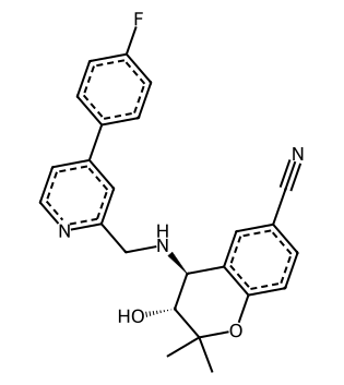 CC1(C)Oc2ccc(C#N)cc2[C@H](NCc2cc(-c3ccc(F)cc3)ccn2)[C@H]1O